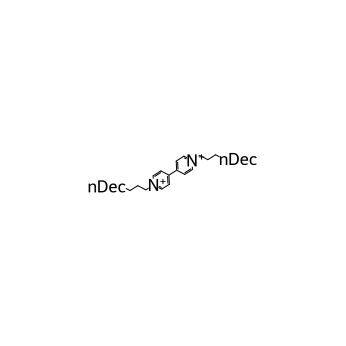 CCCCCCCCCCCCC[n+]1ccc(-c2cc[n+](CCCCCCCCCCCCC)cc2)cc1